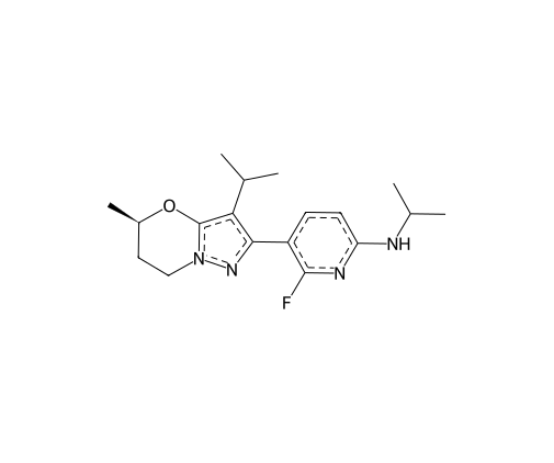 CC(C)Nc1ccc(-c2nn3c(c2C(C)C)O[C@H](C)CC3)c(F)n1